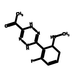 CNC1CC=CC(F)=C1C1=NNC(C(C)=O)=NN1